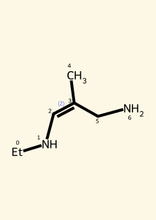 CCN/C=C(/C)CN